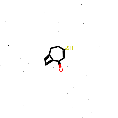 O=C1C=C(S)CCC2=CC=C12